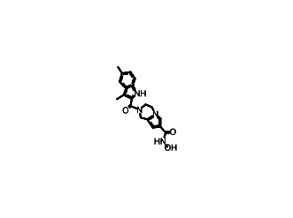 Cc1ccc2[nH]c(C(=O)N3CCn4cc(C(=O)NO)cc4C3)c(C)c2c1